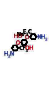 Nc1ccc(Oc2cc(O)cc(Oc3ccc(N)cc3C(F)(F)F)c2)c(C(F)(F)F)c1.[Na+].[OH-]